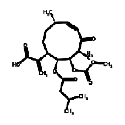 C=C(C(=O)O)[C@H]1CC[C@H](C)/C=C\C(=O)[C@@H](C)[C@@H](OC(=O)OC)[C@H]1OC(=O)CC(C)C